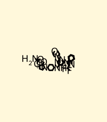 NC(=O)O[C@@H]1CCN([C@H]2CC[C@H](Nc3cc(-n4c(C(F)F)nc5ccccc54)nc(N4CCOCC4)n3)CC2)C1=O